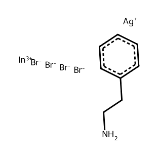 NCCc1ccccc1.[Ag+].[Br-].[Br-].[Br-].[Br-].[In+3]